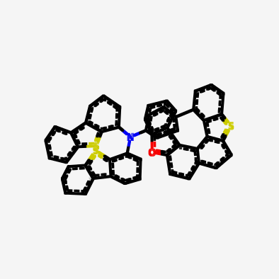 c1ccc2c(c1)oc1ccc3ccc4sc5cccc(-c6ccc(N(c7cccc8c7sc7ccccc78)c7cccc8c7sc7ccccc78)cc6)c5c4c3c12